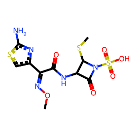 CO/N=C(\C(=O)NC1C(=O)N(S(=O)(=O)O)C1SC)c1csc(N)n1